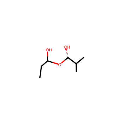 CCC(O)O[C@H](O)C(C)C